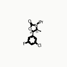 CC(C)N1C(=O)O[C@H](c2cc(F)cc(Cl)c2)[C@@H]1C